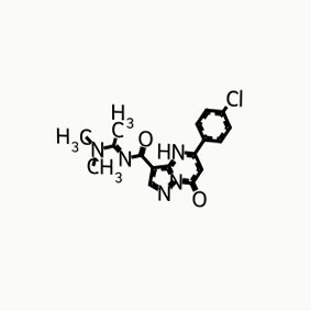 C/C(=N\C(=O)c1cnn2c(=O)cc(-c3ccc(Cl)cc3)[nH]c12)N(C)C